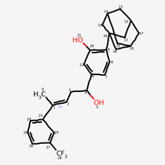 C/C(=C\CC(O)c1ccc(C23CC4CC(CC(C4)C2)C3)c(O)c1)c1cccc(C(F)(F)F)c1